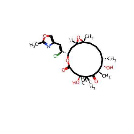 Cc1nc(C=C(Cl)[C@@H]2C[C@@H]3O[C@]3(C)CCC[C@H](C)[C@H](O)[C@@H](C)C(=O)C(C)(C)[C@@H](O)CC(=O)O2)co1